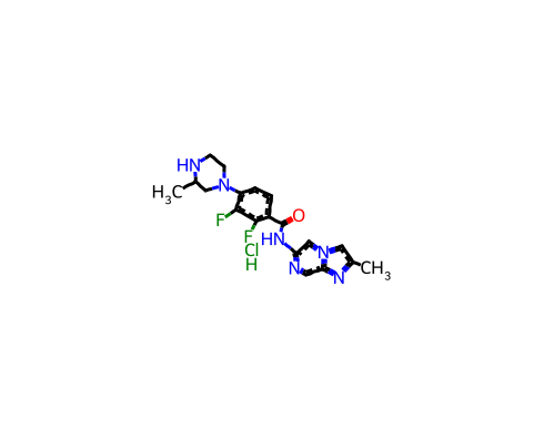 Cc1cn2cc(NC(=O)c3ccc(N4CCNC(C)C4)c(F)c3F)ncc2n1.Cl